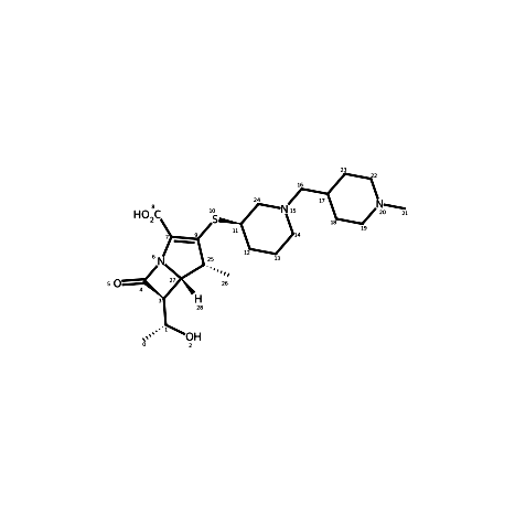 C[C@@H](O)[C@H]1C(=O)N2C(C(=O)O)=C(S[C@@H]3CCCN(CC4CCN(C)CC4)C3)[C@H](C)[C@H]12